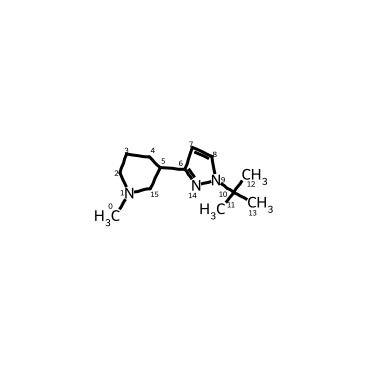 CN1CCCC(c2ccn(C(C)(C)C)n2)C1